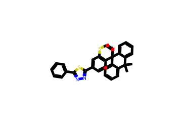 CC1(C)c2ccccc2C2(c3ccccc3Sc3cc(-c4nnc(-c5ccccc5)s4)ccc32)c2ccccc21